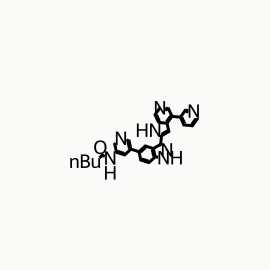 CCCCC(=O)Nc1cncc(-c2ccc3[nH]nc(-c4cc5c(-c6cccnc6)cncc5[nH]4)c3c2)c1